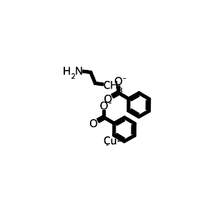 CCCN.O=C([O-])c1ccccc1.O=C([O-])c1ccccc1.[Cu+2]